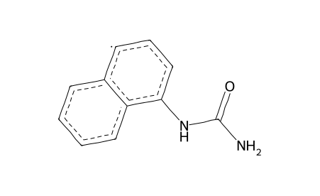 NC(=O)Nc1cc[c]c2ccccc12